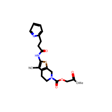 COC(=O)COC(=O)N1CCc2c(sc(NC(=O)CCc3ccccn3)c2C#N)C1